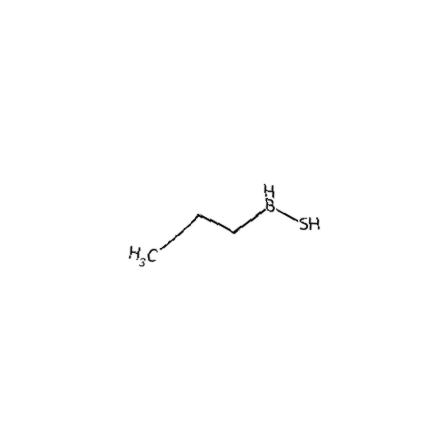 CCCBS